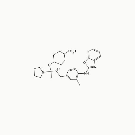 Cc1cc(CC(=O)C(F)(OC2CCC(C(=O)O)CC2)N2CCCC2)ccc1Nc1nc2ccccc2o1